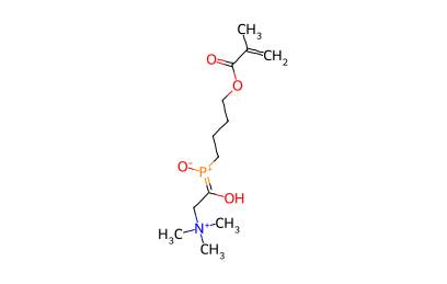 C=C(C)C(=O)OCCCC/[P+]([O-])=C(\O)C[N+](C)(C)C